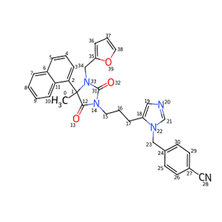 CC1(c2cccc3ccccc23)C(=O)N(CCCc2cncn2Cc2ccc(C#N)cc2)C(=O)N1Cc1ccco1